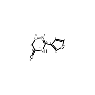 O=C1CON=C(c2ccsc2)N1